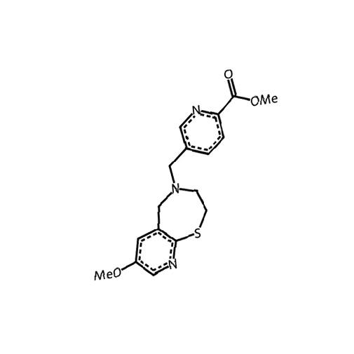 COC(=O)c1ccc(CN2CCSc3ncc(OC)cc3C2)cn1